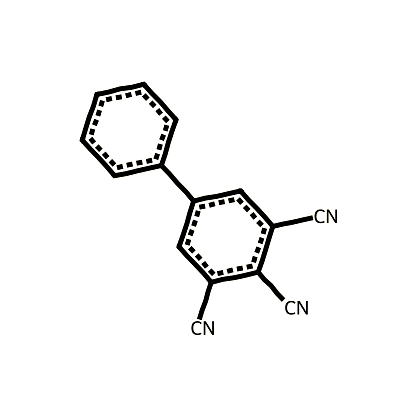 N#Cc1cc(-c2ccccc2)cc(C#N)c1C#N